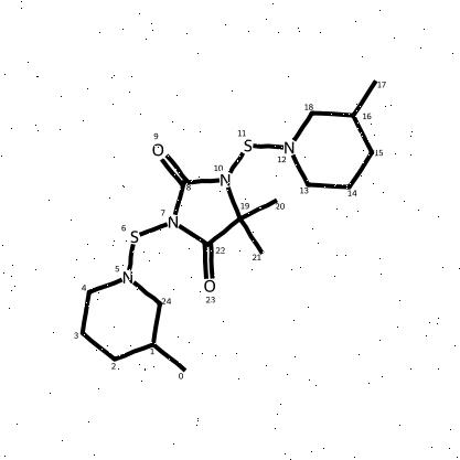 CC1CCCN(SN2C(=O)N(SN3CCCC(C)C3)C(C)(C)C2=O)C1